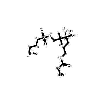 CCCOC(=O)OCCC[C@](O)(C(=O)O)C(C)(C)COS(=O)(=O)CCCNC(C)=O